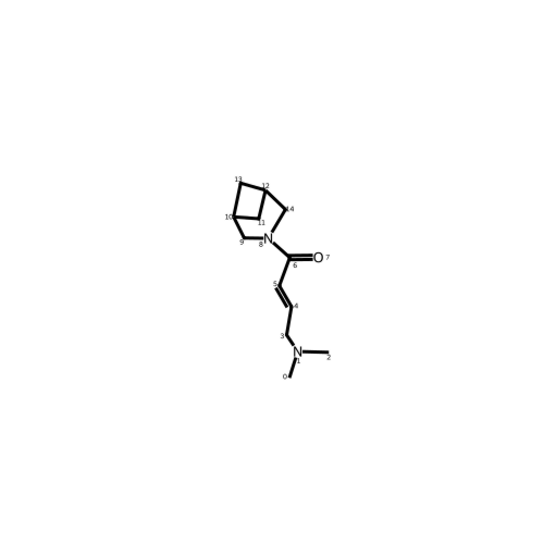 CN(C)C/C=C/C(=O)N1CC2CC(C2)C1